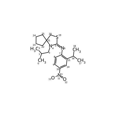 CC(C)CN1/C(=N\c2ccc([N+](=O)[O-])cc2C(C)C)SCC12CCCC2